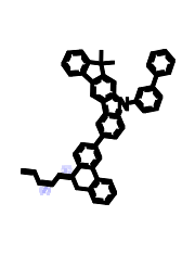 C=C/C=C\C=C1/Cc2ccccc2-c2cc(-c3ccc4c(c3)c3cc5c(cc3n4-c3cccc(-c4ccccc4)c3)C(C)(C)c3ccccc3-5)ccc21